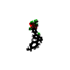 CCCC1CCC(c2cccc3c(F)c(-c4ccc(OS(=O)(=O)C(F)(F)F)c(F)c4)ccc23)CC1